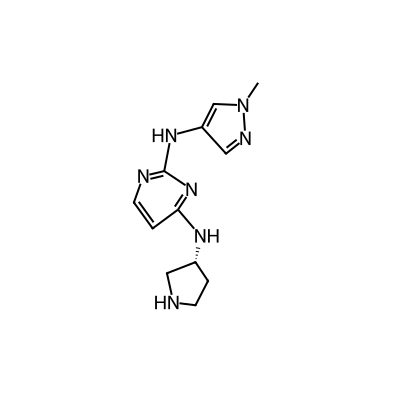 Cn1cc(Nc2nccc(N[C@@H]3CCNC3)n2)cn1